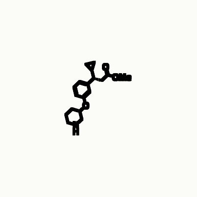 COC(=O)C[C@H](c1cccc(OC2CCCNC2)c1)C1CC1